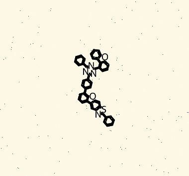 c1ccc(-c2nc(-c3ccc(-c4cccc5c4oc4cc6sc(-c7ccccc7)nc6cc45)cc3)nc(-c3cccc4oc5ccccc5c34)n2)cc1